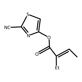 CC=C(CC)C(=O)Oc1csc(C#N)n1